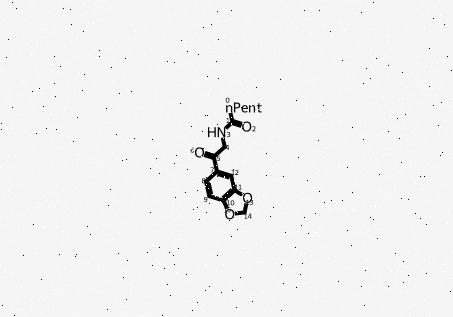 CCCCCC(=O)NCC(=O)c1ccc2c(c1)OCO2